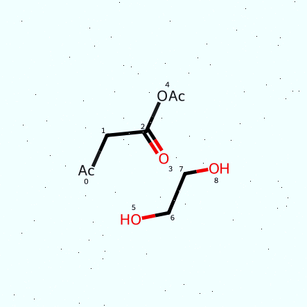 CC(=O)CC(=O)OC(C)=O.OCCO